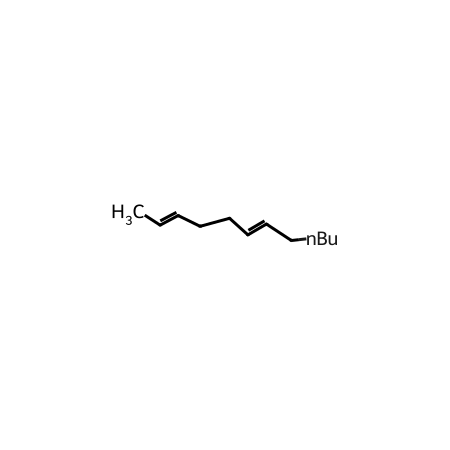 CC=CCCC=CCCCCC